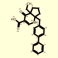 CCC12CCCC1(Cc1ccc(-c3ccccc3)cc1)NC=C(C(=O)O)C2=O